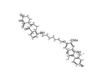 COc1cc2c(N[C@H](C)c3cccc(Br)c3)nc(C)nc2cc1OCCCCCCCNc1cccc2c1CCN(C1CCC(=O)NC1=O)C2=O